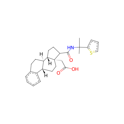 CC(C)(NC(=O)C1CC[C@H]2[C@@H]3CCc4ccccc4[C@H]3CC[C@]12CC(=O)O)c1cccs1